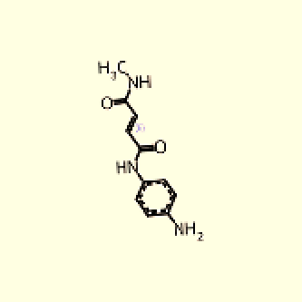 CNC(=O)/C=C/C(=O)Nc1ccc(N)cc1